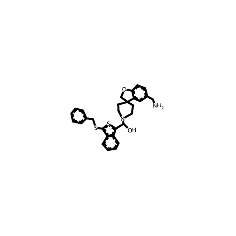 NCc1ccc2c(c1)C1(CCN(C(O)c3sc(SCc4ccccc4)c4ccccc34)CC1)CO2